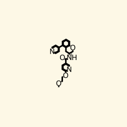 COCCOc1ccc(C(=O)N[C@@H]2COc3cccc(-c4ccncc4)c3C2)cn1